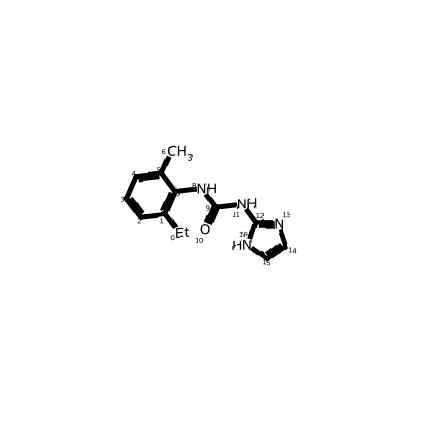 CCc1cccc(C)c1NC(=O)Nc1ncc[nH]1